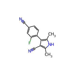 Cc1[nH]c(C)c(-c2ccc(C#N)cc2F)c1C#N